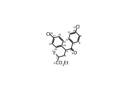 CCOC(=O)C(F)CC(C(=O)c1ccc(Cl)cc1)c1ccc(Cl)cc1